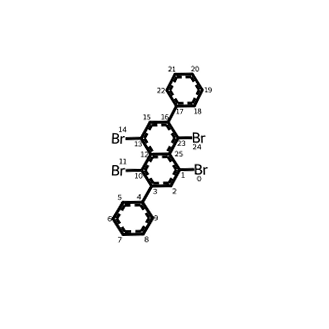 Brc1cc(-c2ccccc2)c(Br)c2c(Br)cc(-c3ccccc3)c(Br)c12